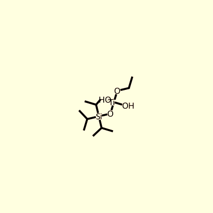 CC[O][Ti]([OH])([OH])[O][Si](C(C)C)(C(C)C)C(C)C